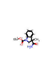 CC(C)(C)OC(=O)N1CC(C)(C(N)=O)c2ccccc21